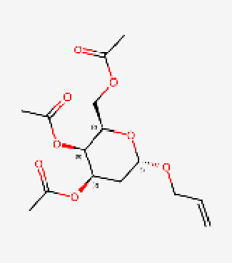 C=CCO[C@@H]1C[C@@H](OC(C)=O)[C@@H](OC(C)=O)[C@@H](COC(C)=O)O1